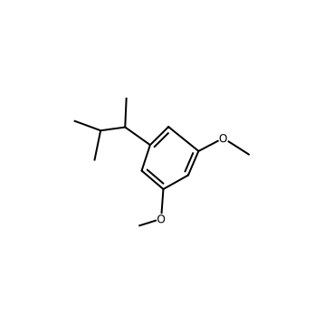 COc1cc(OC)cc(C(C)C(C)C)c1